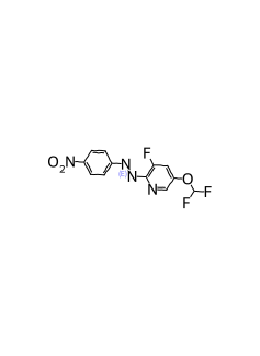 O=[N+]([O-])c1ccc(/N=N/c2ncc(OC(F)F)cc2F)cc1